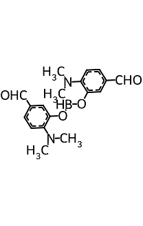 CN(C)c1ccc(C=O)cc1OBOc1cc(C=O)ccc1N(C)C